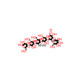 CC(=O)N[C@H]1[C@H](O[C@H]2[C@@H](O)[C@@H](CO)O[C@@H](O[C@H]3[C@H](O)[C@@H](CO)O[C@@H](O[C@H]4[C@@H](O)[C@@H](CO)O[C@@H](O[C@H]5[C@H](O)[C@@H](O)[C@H](O)O[C@@H]5CO)[C@@H]4O)[C@@H]3NC(C)=O)[C@@H]2O)O[C@H](CO)[C@@H](O)[C@@H]1O[C@@H]1O[C@H](CO)[C@H](O)[C@H](O)[C@H]1O